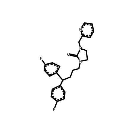 O=C1N(CCCC(c2ccc(F)cc2)c2ccc(F)cc2)CCN1Cc1ccccn1